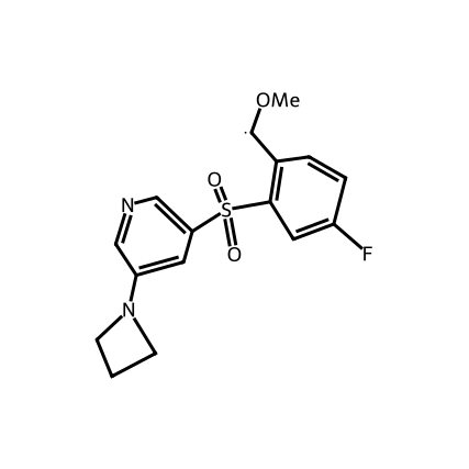 CO[CH]c1ccc(F)cc1S(=O)(=O)c1cncc(N2CCC2)c1